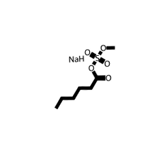 CCCCCC(=O)OS(=O)(=O)OC.[NaH]